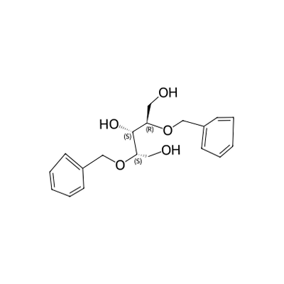 OC[C@H](OCc1ccccc1)[C@H](O)[C@@H](CO)OCc1ccccc1